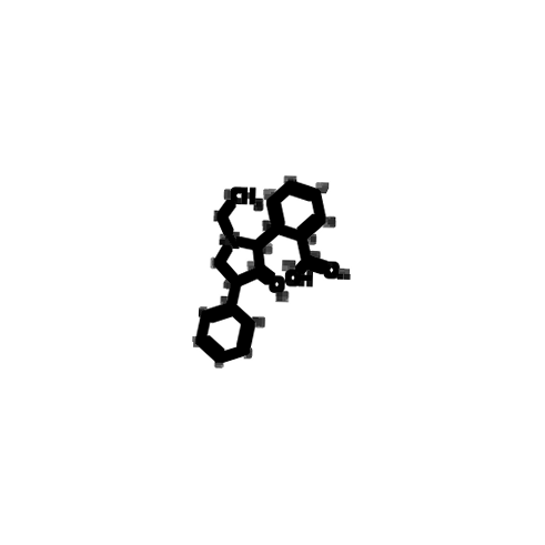 CCN1CC(c2ccccc2)C(=O)C1c1ccccc1C(=O)O